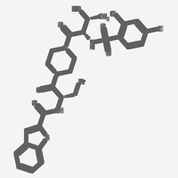 CC(C)C[C@H](NC(=O)c1cc2ccccc2s1)C(=O)N1CCN(C(=O)[C@@H](NS(=O)(=O)c2ccc(Cl)cc2Cl)[C@@H](C)O)CC1